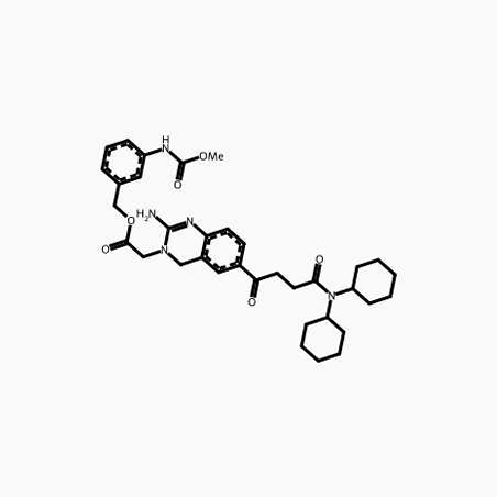 COC(=O)Nc1cccc(COC(=O)CN2Cc3cc(C(=O)CCC(=O)N(C4CCCCC4)C4CCCCC4)ccc3N=C2N)c1